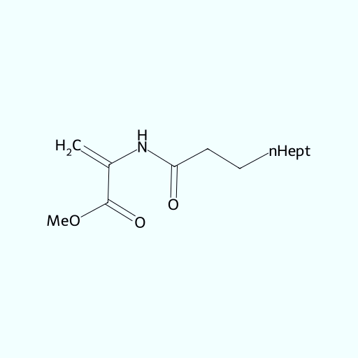 C=C(NC(=O)CCCCCCCCC)C(=O)OC